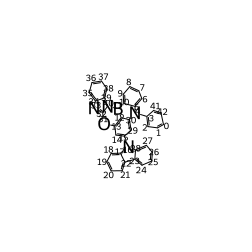 c1ccc(N2c3ccccc3B3c4c(cc(-n5c6ccccc6c6ccccc65)cc42)Oc2nc4ccccc4n23)cc1